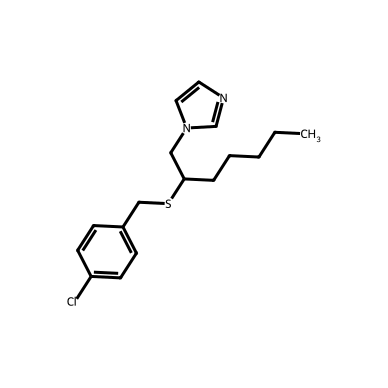 CCCCCC(Cn1ccnc1)SCc1ccc(Cl)cc1